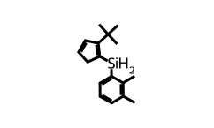 Cc1cccc([SiH2]C2=C(C(C)(C)C)C=CC2)c1C